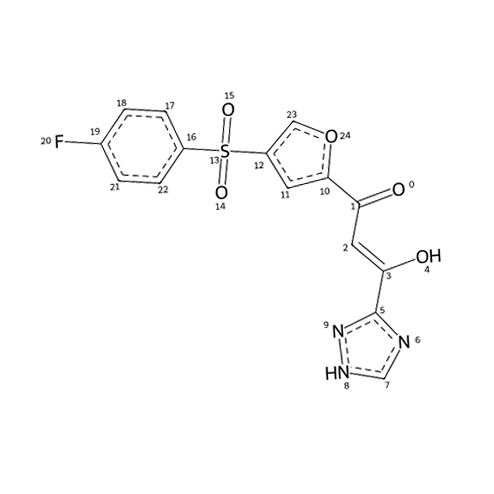 O=C(C=C(O)c1nc[nH]n1)c1cc(S(=O)(=O)c2ccc(F)cc2)co1